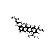 CN(C)[C@@H]1C(O)=C(C(N)=O)C(=O)[C@@]2(O)C(O)=C3C(=O)c4c(O)c(NC(=O)CNC(C)(C)C)cc(F)c4C[C@H]3C[C@@H]12